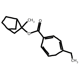 CCC1=CC=C(C(=O)OC2(C)CC3CCC2C3)C=CC1